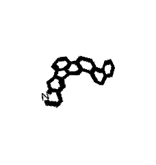 c1cnc2cc3c(cc2c1)-c1cc2c(ccc4c5ccccc5ccc42)c2cccc-3c12